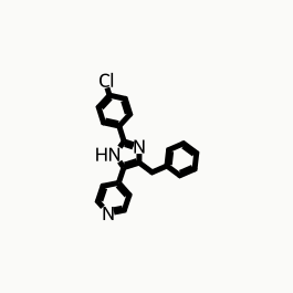 Clc1ccc(-c2nc(Cc3ccccc3)c(-c3ccncc3)[nH]2)cc1